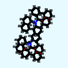 c1ccc(-c2cc3cc(-c4ccccc4)c(N(c4cccc5ccccc45)c4cc5ccccc5c5ccccc45)cc3cc2N(c2cccc3ccccc23)c2cc3ccccc3c3ccccc23)cc1